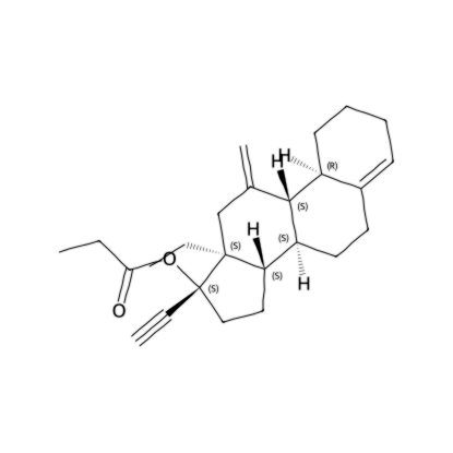 C#C[C@]1(OC(=O)CC)CC[C@H]2[C@@H]3CCC4=CCCC[C@@H]4[C@H]3C(=C)C[C@@]21CC